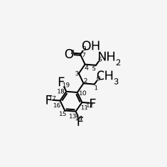 CCC(CC(CN)C(=O)O)c1c(F)c(F)cc(F)c1F